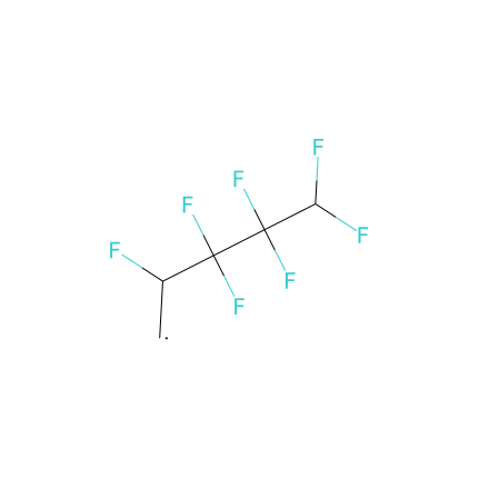 [CH2]C(F)C(F)(F)C(F)(F)C(F)F